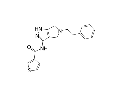 O=C(Nc1n[nH]c2c1CN(CCc1ccccc1)C2)c1ccsc1